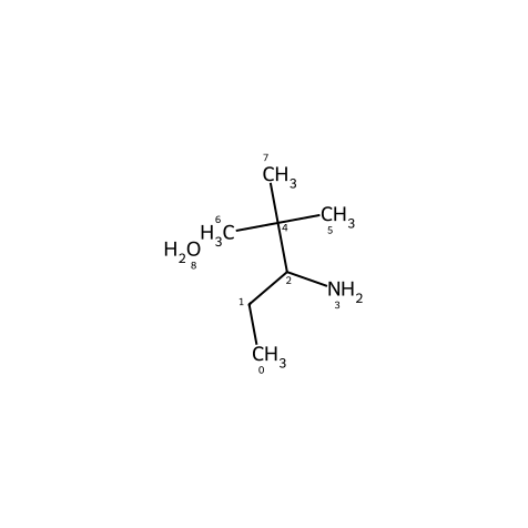 CCC(N)C(C)(C)C.O